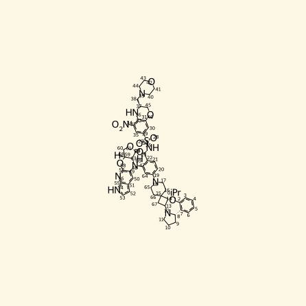 CC(C)Oc1ccccc1[C@@H]1CCCN1C1CC2(CCN(c3ccc(C(=O)NS(=O)(=O)c4cc5c(c([N+](=O)[O-])c4)N[C@@H](CN4CCOCC4)CO5)c(N4c5cc6cc[nH]c6nc5O[C@@H]5COC[C@H]54)c3)CC2)C1